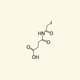 O=C(O)CCC(=O)NC(=O)CI